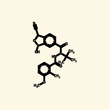 COc1cccc(C(=O)NN(C(=O)c2ccc3c(c2)B(O)OC3C#N)C(C)(C)C)c1C